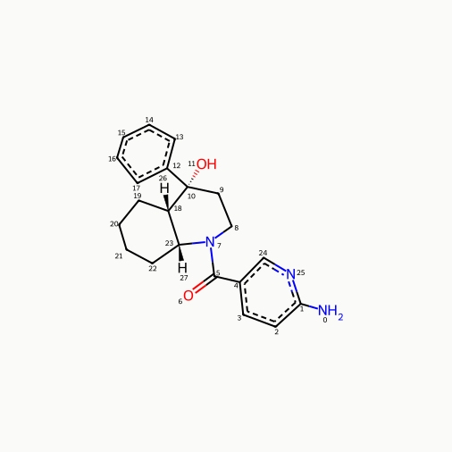 Nc1ccc(C(=O)N2CC[C@](O)(c3ccccc3)[C@H]3CCCC[C@H]32)cn1